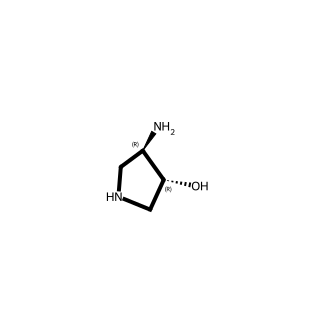 N[C@@H]1CNC[C@H]1O